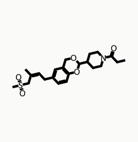 CCC(=O)N1CCC(C2OCc3cc(CC=C(C)CS(C)(=O)=O)ccc3O2)CC1